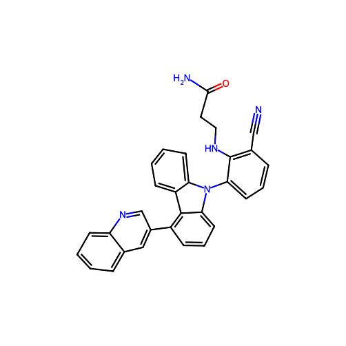 N#Cc1cccc(-n2c3ccccc3c3c(-c4cnc5ccccc5c4)cccc32)c1NCCC(N)=O